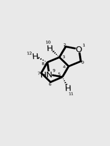 C1OC[C@H]2C1[C@H]1CC[C@@H]2N1